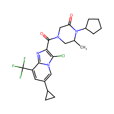 CC1CN(C(=O)c2nc3c(C(F)(F)F)cc(C4CC4)cn3c2Cl)CC(=O)N1C1CCCC1